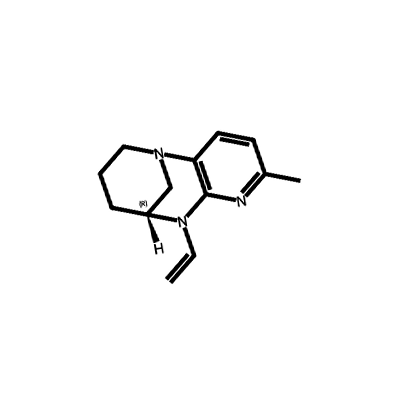 C=CN1c2nc(C)ccc2N2CCC[C@@H]1C2